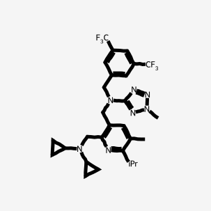 Cc1cc(CN(Cc2cc(C(F)(F)F)cc(C(F)(F)F)c2)c2nnn(C)n2)c(CN(C2CC2)C2CC2)nc1C(C)C